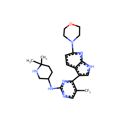 CC1(C)CCC(Nc2ncc(C(F)(F)F)c(-c3c[nH]c4nc(N5CCOCC5)ccc34)n2)CN1